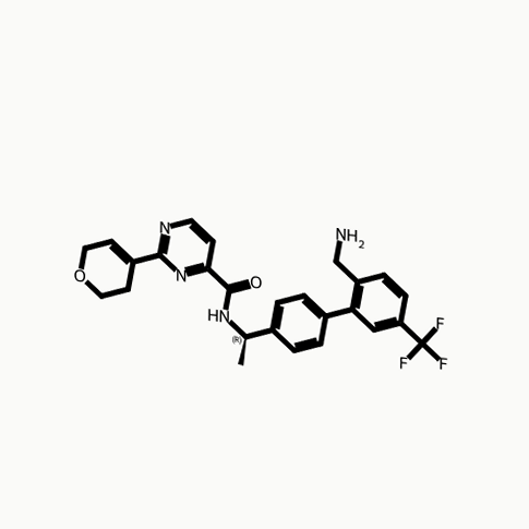 C[C@@H](NC(=O)c1ccnc(C2=CCOCC2)n1)c1ccc(-c2cc(C(F)(F)F)ccc2CN)cc1